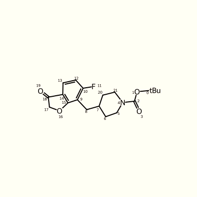 CC(C)(C)OC(=O)N1CCC(Cc2c(F)ccc3c2OCC3=O)CC1